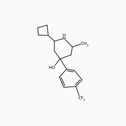 CC1CC(O)(c2ccc(C(F)(F)F)cc2)CC(C2CCC2)N1